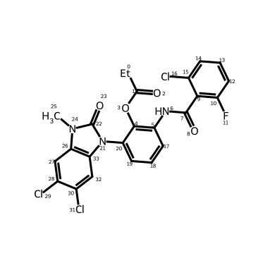 CCC(=O)Oc1c(NC(=O)c2c(F)cccc2Cl)cccc1-n1c(=O)n(C)c2cc(Cl)c(Cl)cc21